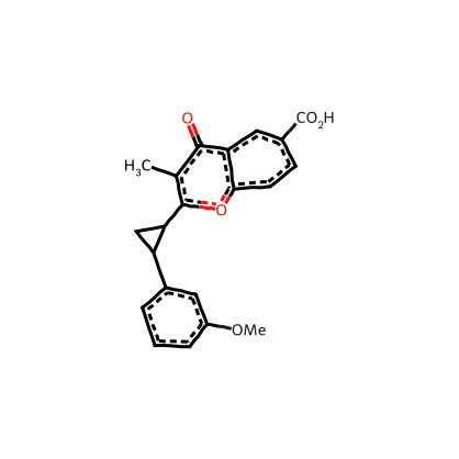 COc1cccc(C2CC2c2oc3ccc(C(=O)O)cc3c(=O)c2C)c1